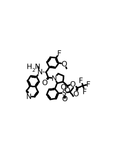 COc1cc([C@H](C(=O)N2CCC(C(=O)OC(=O)C(F)(F)F)C2c2ccccc2S(=O)(=O)C(C)C)N(N)c2ccc3cnccc3c2)ccc1F